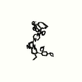 CCc1cc2ncc(N3CCN(S(=O)(=O)c4ccccc4[N+](=O)[O-])CC3)n2cc1-c1ccc(Cl)cc1Cl